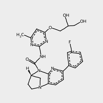 Cc1cc(OCC(O)CO)nc(NC(=O)N2c3nc(-c4cccc(F)c4)ccc3N3CC[C@H]2C3)n1